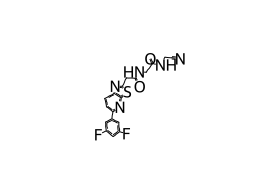 N#CCNC(=O)CNC(=O)Cc1nc2ccc(-c3cc(F)cc(F)c3)nc2s1